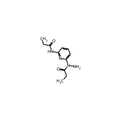 CCC(=O)Nc1cccc(N(N)C(=O)CC)n1